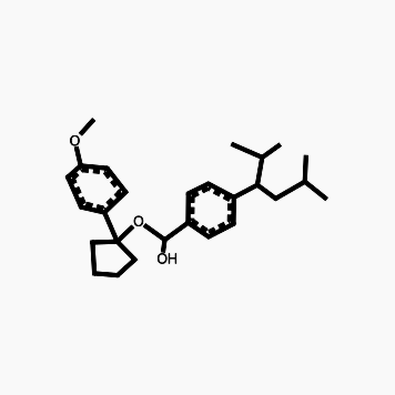 COc1ccc(C2(OC(O)c3ccc(C(CC(C)C)C(C)C)cc3)CCCC2)cc1